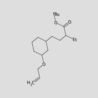 C=CCOC1CCCC(CCC(CC)C(=O)OC(C)(C)C)C1